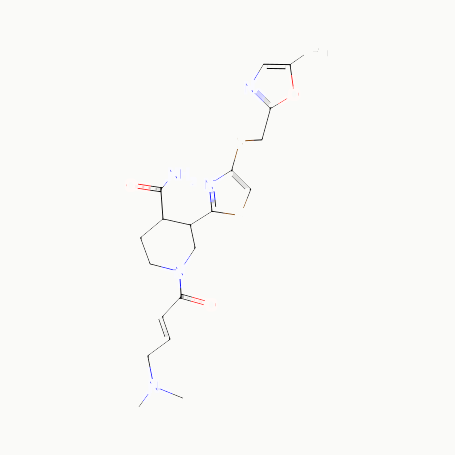 CN(C)CC=CC(=O)N1CCC(C(N)=O)C(c2nc(SCc3ncc(C(C)(C)C)o3)cs2)C1